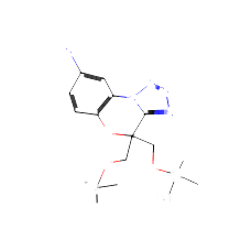 CC(C)(C)[Si](C)(C)OCC1(CO[Si](C)(C)C(C)(C)C)Oc2ccc(N)cc2-n2nnnc21